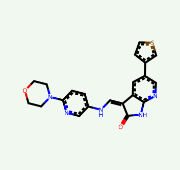 O=C1Nc2ncc(-c3ccsc3)cc2C1=CNc1ccc(N2CCOCC2)nc1